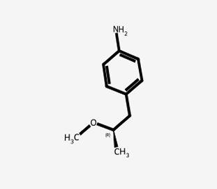 CO[C@H](C)Cc1ccc(N)cc1